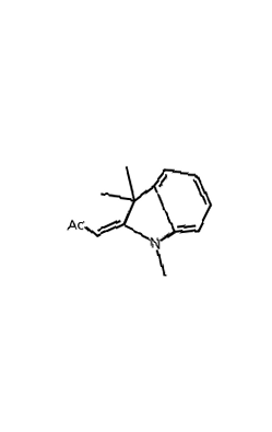 CC(=O)C=C1N(C)c2ccccc2C1(C)C